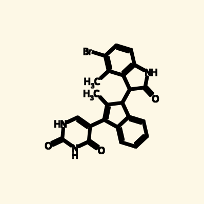 CC1=C(c2c[nH]c(=O)[nH]c2=O)c2ccccc2C1C1C(=O)Nc2ccc(Br)c(C)c21